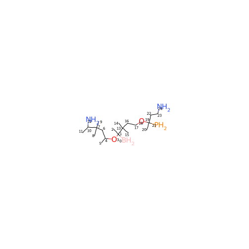 BC(C)(OC(C)CC(C)(C)C(C)N)C(C)(C)CCOC(C)(P)CCN